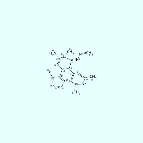 C=N/N=c1/c(-c2cc(C)nc(C)c2)c(-c2ccccc2F)nc(N)n1C